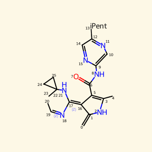 C=c1[nH]c(C)c(C(=O)Nc2cnc(C(C)CCC)cn2)/c1=C(/N=C\C)NC1(C)CC1